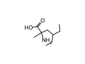 CCC(CC)CC(C)(N)C(=O)O